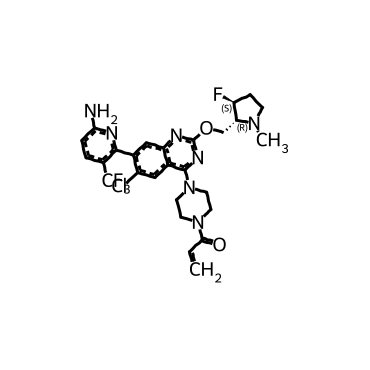 C=CC(=O)N1CCN(c2nc(OC[C@@H]3[C@@H](F)CCN3C)nc3cc(-c4nc(N)ccc4C(F)(F)F)c(Cl)cc23)CC1